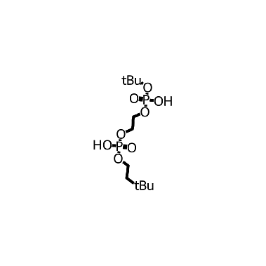 CC(C)(C)CCOP(=O)(O)OCCOP(=O)(O)OC(C)(C)C